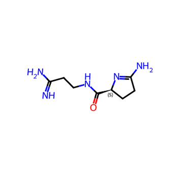 N=C(N)CCNC(=O)[C@@H]1CCC(N)=N1